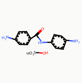 Nc1ccc(NC(=O)c2ccc(N)cc2)cc1.O=S(=O)(O)O